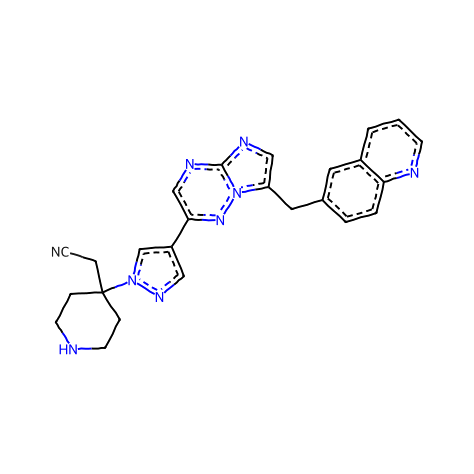 N#CCC1(n2cc(-c3cnc4ncc(Cc5ccc6ncccc6c5)n4n3)cn2)CCNCC1